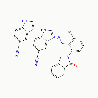 N#Cc1ccc2[nH]ccc2c1.N#Cc1ccc2[nH]ccc2c1.NCc1c(Br)cccc1N1Cc2ccccc2C1=O